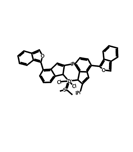 CC(C)C1=Cc2c(-c3occ4ccccc34)cccc2[CH]1[Zr]([Cl])([Cl])([CH]1C(C(C)C)=Cc2c(-c3occ4ccccc34)cccc21)=[Si](C)C